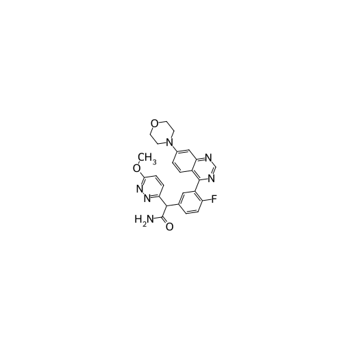 COc1ccc(C(C(N)=O)c2ccc(F)c(-c3ncnc4cc(N5CCOCC5)ccc34)c2)nn1